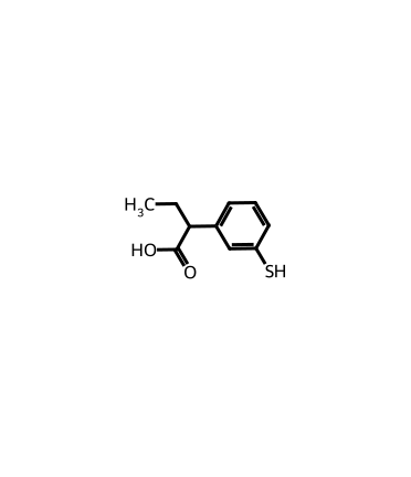 CCC(C(=O)O)c1cccc(S)c1